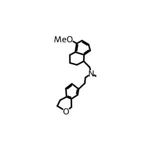 COc1cccc2c1CCCC2CN(C)CCc1ccc2c(c1)COCC2